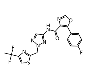 CC(F)(F)c1csc(Cn2ncc(NC(=O)c3ncoc3-c3ccc(F)cc3)n2)n1